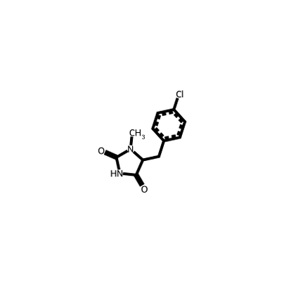 CN1C(=O)NC(=O)C1Cc1ccc(Cl)cc1